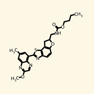 CCCCOC(=O)NCC1Cc2c(ccc3nc(-c4cc(C)cc5nc(OC)cnc45)sc23)O1